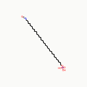 O=C=NCCCCCCCCCCCCCCCCCCCCCCCCCCCCCCCCCOP(=O)(O)O